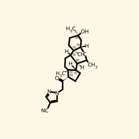 CC1C[C@H]2C[C@](C)(O)CC[C@]2(C)[C@H]2CC[C@]3(C)[C@@H](C(=O)Cn4cc(C#N)cn4)CC[C@H]3[C@H]12